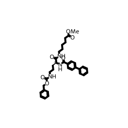 COC(=O)CCCCCNC(=O)[C@H](CCCNC(=O)OCc1ccccc1)NC(=O)c1ccc(-c2ccccc2)cc1